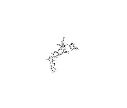 CCCN(OCc1ccc(N)cc1)C(=O)C1=Cc2ccc(-c3cccc(SN4CCOCC4)c3)cc2N=C(N)C1